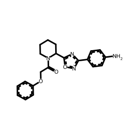 Nc1ccc(-c2noc(C3CCCCN3C(=O)COc3ccccc3)n2)cc1